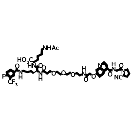 CC(=O)NCCCC[C@H](NC(=O)[C@H](CCCCNC(=O)c1ccc(F)c(C(F)(F)F)c1)NC(=O)CCOCCOCCOCCNC(=O)COc1ccc2c(C(=O)NCC(=O)N3CCC[C@H]3C#N)ccnc2c1)C(=O)O